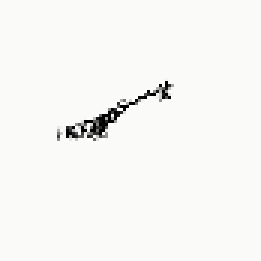 CC(C)N(CCCCCCCCSc1ccc2c(c1)CN(C1CCC(O)NC1=O)C2=O)C(C)C